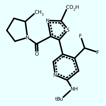 CC1CCCN1C(=O)c1nc(C(=O)O)sc1-c1cnc(NC(C)(C)C)cc1C(F)F